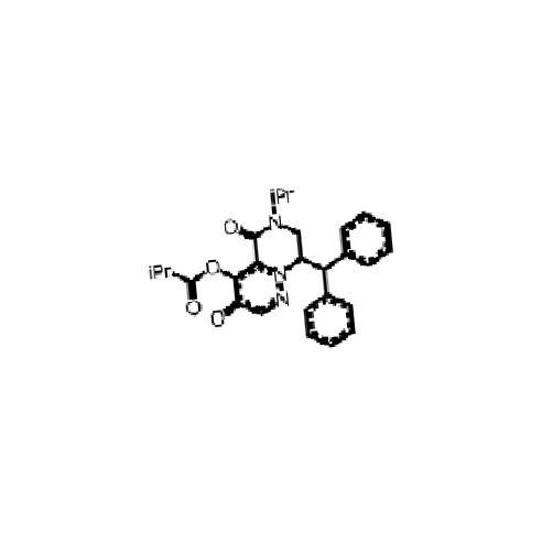 CC(C)C(=O)Oc1c2n(ncc1=O)C(C(c1ccccc1)c1ccccc1)CN(C(C)C)C2=O